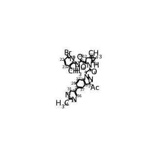 CC(=O)c1nn(CC(=O)N2[C@@H]3C[C@]3(C)C[C@@]2(O)C(=O)Nc2nc(Br)ccc2C)c2ccc(-c3cnc(C)nc3)cc12